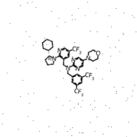 FC(F)(F)c1cc(CN(Cc2cc(C(F)(F)F)cnc2N2CCC[C@@H]2C2CCCCC2)c2ncc(N3CCOCC3)cn2)cc(C(F)(F)F)c1